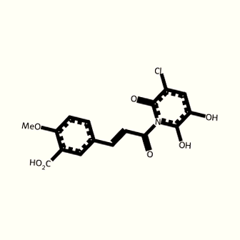 COc1ccc(/C=C/C(=O)n2c(O)c(O)cc(Cl)c2=O)cc1C(=O)O